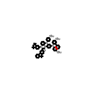 CC(C)(C)c1ccc(N(c2ccc3c(c2)N(c2ccc(C(C)(C)C)cc2)c2cccc4c2B3c2sc3cc5c(cc3c2N4c2ccc3c(c2)C(C)(C)CC3(C)C)-c2ccccc2C5(C)C)c2ccc(C(C)(C)C)cc2-c2ccccc2)cc1